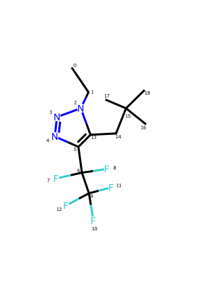 CCn1nnc(C(F)(F)C(F)(F)F)c1CC(C)(C)C